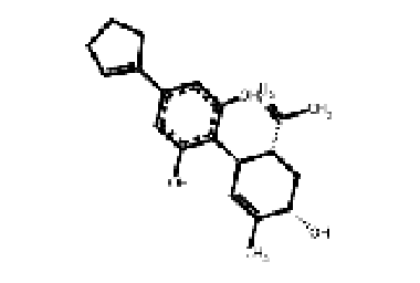 C=C(C)[C@@H]1C[C@H](O)C(C)=C[C@H]1c1c(O)cc(C2=CCCC2)cc1O